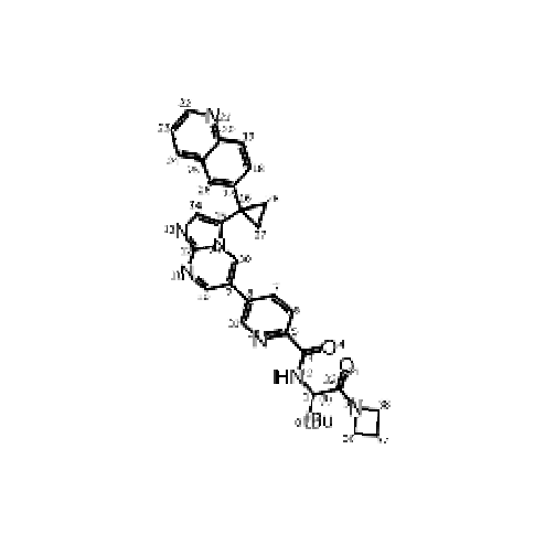 CC(C)(C)[C@@H](NC(=O)c1ccc(-c2cnc3ncc(C4(c5ccc6ncccc6c5)CC4)n3c2)cn1)C(=O)N1CCC1